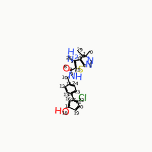 Cc1nnc2sc(C(=O)NCc3ccc(-c4cc(O)ccc4Cl)cc3)c(N)c2c1C